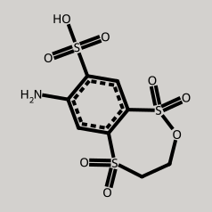 Nc1cc2c(cc1S(=O)(=O)O)S(=O)(=O)OCCS2(=O)=O